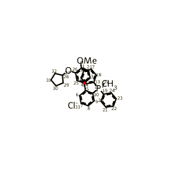 COc1ccc(-c2ccccc2[P+](C)(c2ccccc2)c2ccccc2)cc1OC1CCCC1.[Cl-]